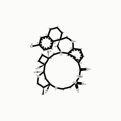 C[C@H]1CO[C@@H]2C[C@@H]1OCCS(=O)(=O)NC(=O)c1ccc3c(c1)N(C[C@@H]1CC[C@H]12)C[C@@]1(CCCc2cc(Cl)ccc21)CO3